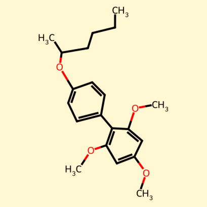 CCCCC(C)Oc1ccc(-c2c(OC)cc(OC)cc2OC)cc1